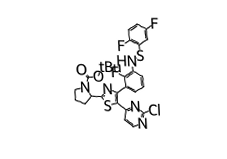 CC(C)(C)OC(=O)N1CCCC1c1nc(-c2cccc(NSc3cc(F)ccc3F)c2F)c(-c2ccnc(Cl)n2)s1